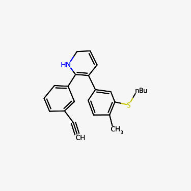 C#Cc1cccc(C2=C(c3ccc(C)c(SCCCC)c3)C=CCN2)c1